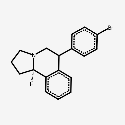 Brc1ccc(C2CN3CCC[C@@H]3c3ccccc32)cc1